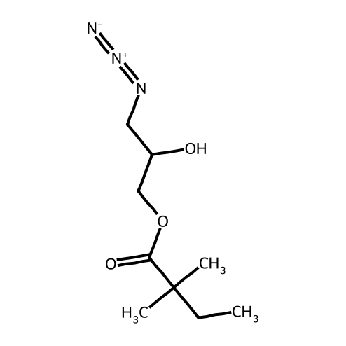 CCC(C)(C)C(=O)OCC(O)CN=[N+]=[N-]